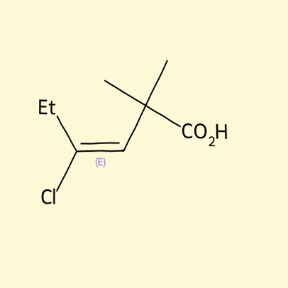 CC/C(Cl)=C\C(C)(C)C(=O)O